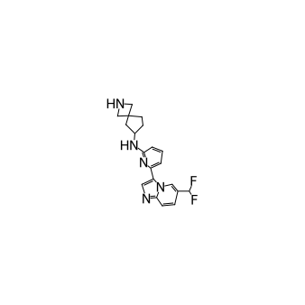 FC(F)c1ccc2ncc(-c3cccc(NC4CCC5(CNC5)C4)n3)n2c1